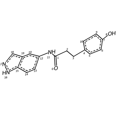 O=C(CCc1ccc(O)cc1)Nc1ccc2[nH]ncc2c1